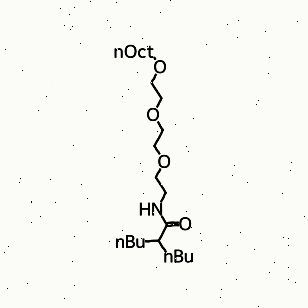 CCCCCCCCOCCOCCOCCNC(=O)C(CCCC)CCCC